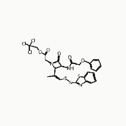 CC(=CSSc1nc2ccccc2s1)C1C(NC(=O)COc2ccccc2)C(=O)N1CC(=O)OCC(Cl)(Cl)Cl